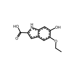 CCOc1cc2cc(C(=O)O)[nH]c2cc1O